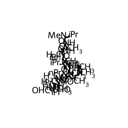 CCC[C@@H](NC(=O)[C@H]([C@H](O)[C@H](C)CCN(C)CC(C)C#N)N(C)C(=O)[C@H](C(C)C)N(C)C(=O)[C@@H](CC(C)C)N(C)[C@H](CC(C)C)C(=O)N(C)C(=O)N[C@H](C)C(=O)NC(=O)[C@H](CC(C)C)NC)C(=O)N(C)[C@H](C)C(=O)N(C)C(C=O)(CC(C)C)N[C@H](C=O)C(C)C